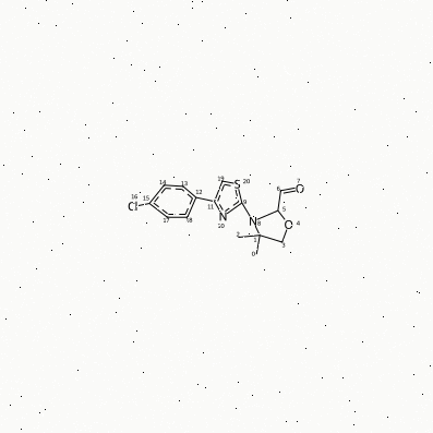 CC1(C)COC(C=O)N1c1nc(-c2ccc(Cl)cc2)cs1